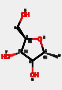 C[C@H]1O[C@H](CO)[C@@H](O)C1O